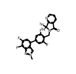 [2H]C1([2H])c2ncccc2C(=O)N1Cc1c(F)cc(-c2cc(F)c(F)c3nn(C)cc23)cc1F